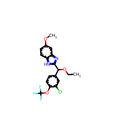 CCOC(c1ccc(OC(F)(F)F)c(Cl)c1)c1nc2cc(OC)ccc2[nH]1